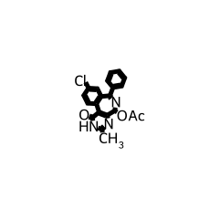 CC(=O)OC1N=C(c2ccccc2)c2cc(Cl)ccc2-c2c1nc(C)[nH]c2=O